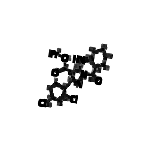 CC(C)OC(=O)c1c(-c2ccc(Cl)cc2Cl)nn2c(=O)c3ccccc3[nH]c12